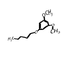 CCCC=COc1cc(OC)cc(OC)c1